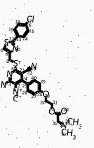 [C-]#[N+]c1c(N)nc(SCc2csc(-c3ccc(Cl)cc3)n2)c(C#N)c1-c1ccc(OCCOC(=O)CN(C)C)cc1